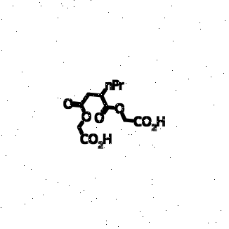 CCCC(CC(=O)OCC(=O)O)C(=O)OCC(=O)O